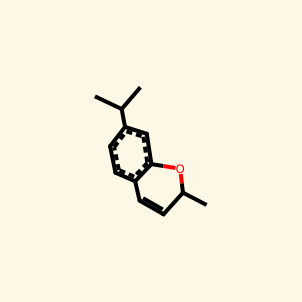 CC1C=Cc2ccc(C(C)C)cc2O1